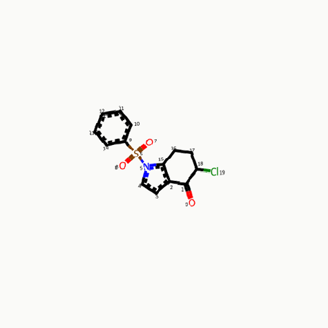 O=C1c2ccn(S(=O)(=O)c3ccccc3)c2CCC1Cl